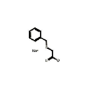 O=C([O-])CSCc1ccccc1.[Na+]